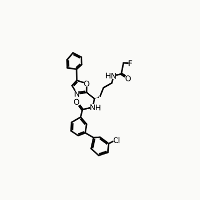 O=C(CF)NCCC[C@H](NC(=O)c1cccc(-c2cccc(Cl)c2)c1)c1ncc(-c2ccccc2)o1